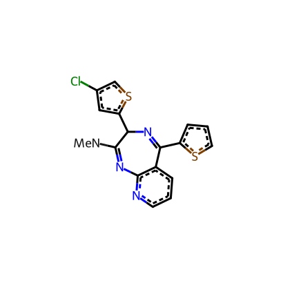 CNC1=Nc2ncccc2C(c2cccs2)=NC1c1cc(Cl)cs1